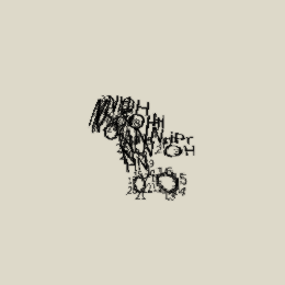 CC(C)[C@@H](CO)Nc1nc(NCC(c2ccccc2)c2ccccc2)c2ncn([C@@H]3OC(c4nnc[nH]4)[C@@H](O)[C@H]3O)c2n1